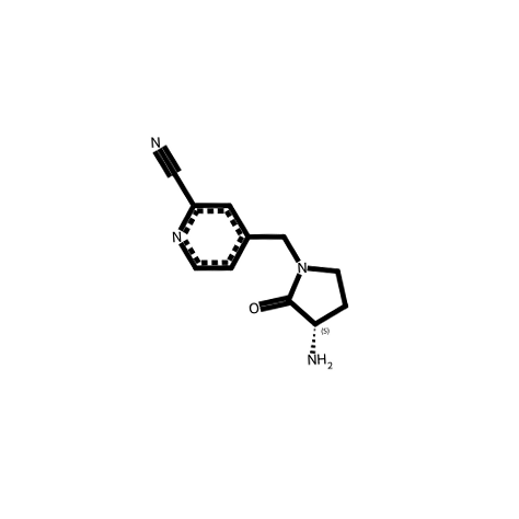 N#Cc1cc(CN2CC[C@H](N)C2=O)ccn1